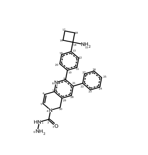 NNC(=O)N1C=Cc2nc(-c3ccc(C4(N)CCC4)cc3)c(-c3ccccc3)cc2C1